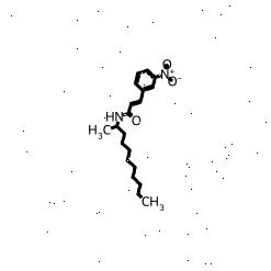 CCCCCCCCCC(C)NC(=O)/C=C/c1cccc([N+](=O)[O-])c1